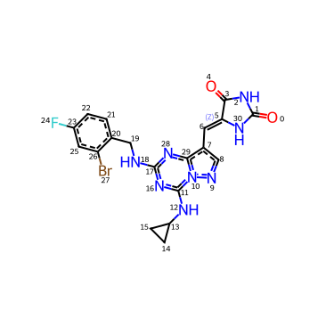 O=C1NC(=O)/C(=C/c2cnn3c(NC4CC4)nc(NCc4ccc(F)cc4Br)nc23)N1